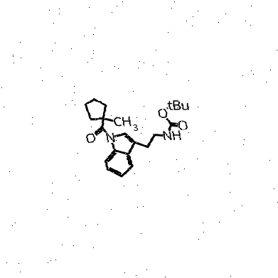 CC(C)(C)OC(=O)NCCc1cn(C(=O)C2(C)CCCC2)c2ccccc12